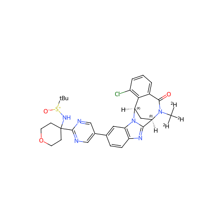 [2H]C([2H])([2H])N1C(=O)c2cccc(Cl)c2[C@H]2C[C@@H]1c1nc3ccc(-c4cnc(C5(N[S+]([O-])C(C)(C)C)CCOCC5)nc4)cc3n12